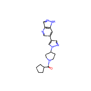 O=C(C1CCCC1)N1CCC(n2cc(-c3cnc4cn[nH]c4c3)cn2)CC1